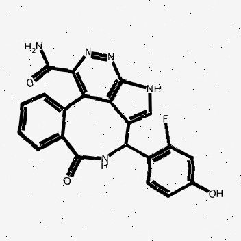 NC(=O)c1nnc2[nH]cc3c2c1-c1ccccc1C(=O)NC3c1ccc(O)cc1F